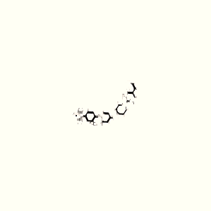 C/C=C\c1cnc(N2CCC(Oc3ccn(-c4ccc(S(C)(=O)=O)cc4F)c(=O)c3)CC2)nc1